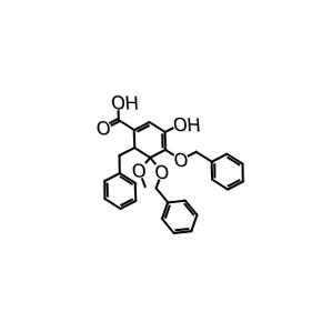 COC1(OCc2ccccc2)C(OCc2ccccc2)=C(O)C=C(C(=O)O)C1Cc1ccccc1